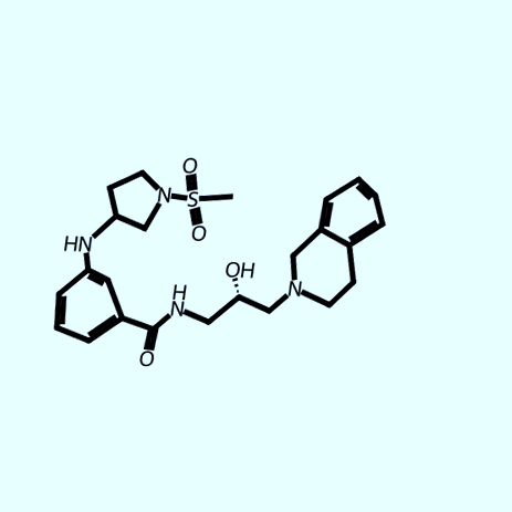 CS(=O)(=O)N1CCC(Nc2cccc(C(=O)NC[C@H](O)CN3CCc4ccccc4C3)c2)C1